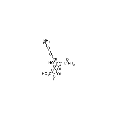 NOCCOCCOCCNC(O)c1cc(COC(N)=O)ccc1O[C@@H]1O[C@H](C(=O)O)[C@@H](O)[C@H](O)[C@H]1O